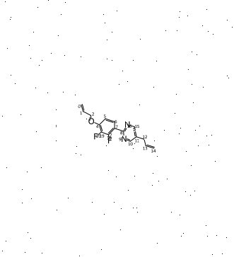 C=CCOc1ccc(-c2ncc(CC=C)cn2)c(F)c1F